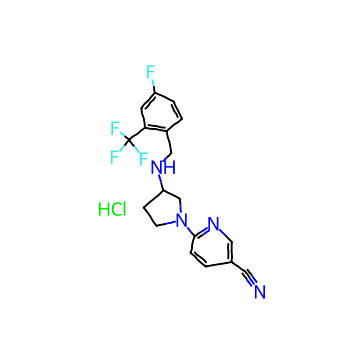 Cl.N#Cc1ccc(N2CCC(NCc3ccc(F)cc3C(F)(F)F)C2)nc1